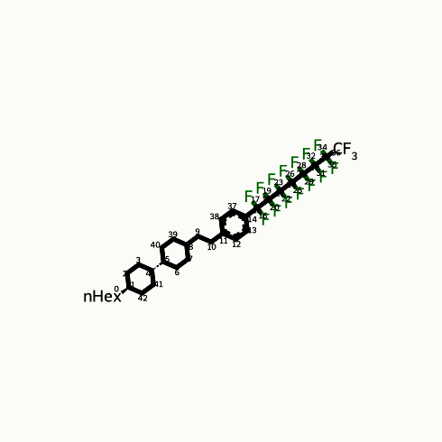 CCCCCC[C@H]1CC[C@H](C2CCC(CCc3ccc(C(F)(F)C(F)(F)C(F)(F)C(F)(F)C(F)(F)C(F)(F)C(F)(F)C(F)(F)F)cc3)CC2)CC1